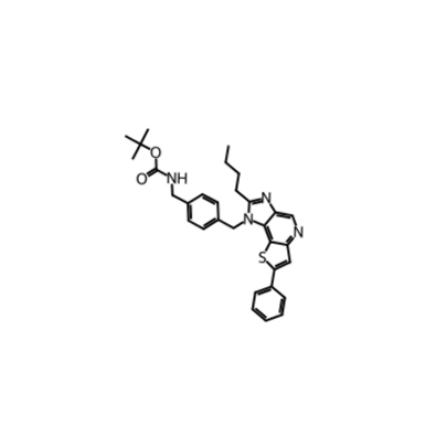 CCCCc1nc2cnc3cc(-c4ccccc4)sc3c2n1Cc1ccc(CNC(=O)OC(C)(C)C)cc1